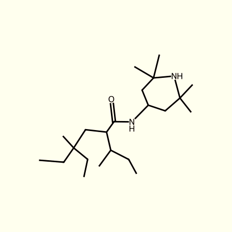 CCC(C)C(CC(C)(CC)CC)C(=O)NC1CC(C)(C)NC(C)(C)C1